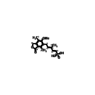 COc1c(C)c2c(c(C)c1C/C=C(C)/C=C/P(=O)(O)O)C(=O)OC2